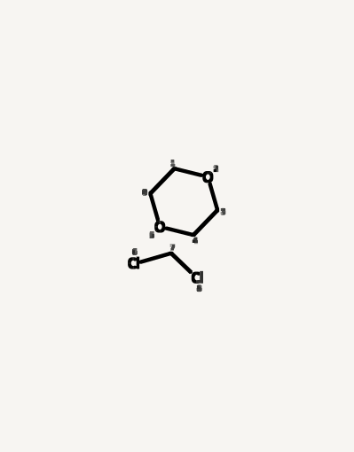 C1COCCO1.ClCCl